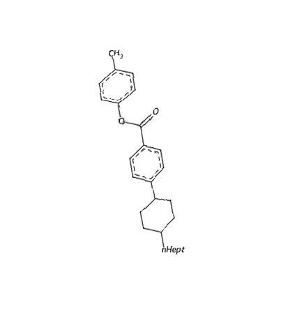 CCCCCCCC1CCC(c2ccc(C(=O)Oc3ccc(C)cc3)cc2)CC1